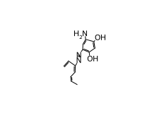 C=CC(=C\C=C/C)/N=N/c1cc(N)c(O)cc1O